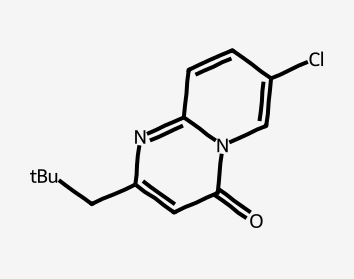 CC(C)(C)Cc1cc(=O)n2cc(Cl)ccc2n1